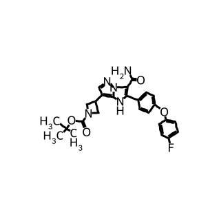 CC(C)(C)OC(=O)N1CC(c2cnn3c(C(N)=O)c(-c4ccc(Oc5ccc(F)cc5)cc4)[nH]c23)C1